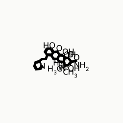 CN(C)[C@H]1C(O)=C(C(N)=O)C(=O)[C@@]2(O)C(O)=C3C(=O)c4c(O)ccc(CCc5ccccn5)c4C[C@@H]3C[C@@H]12